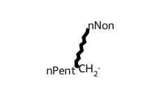 [CH2]C(CCCCC)CCCCCCCCCCCCCCCCCC